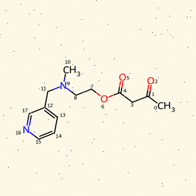 CC(=O)CC(=O)OCCN(C)Cc1cccnc1